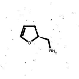 NC[C@@H]1CC=CO1